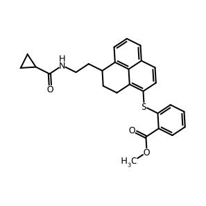 COC(=O)c1ccccc1Sc1ccc2cccc3c2c1CCC3CCNC(=O)C1CC1